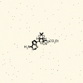 CCOC(=O)OC[C@@]1(C#N)O[C@@H](c2ccc3c(N)ncnn23)[C@@H]2OC(C)(C)O[C@@H]21